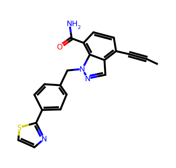 CC#Cc1ccc(C(N)=O)c2c1cnn2Cc1ccc(-c2nccs2)cc1